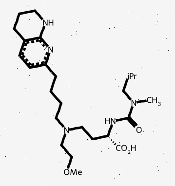 COCCN(CCCCc1ccc2c(n1)NCCC2)CC[C@H](NC(=O)N(C)CC(C)C)C(=O)O